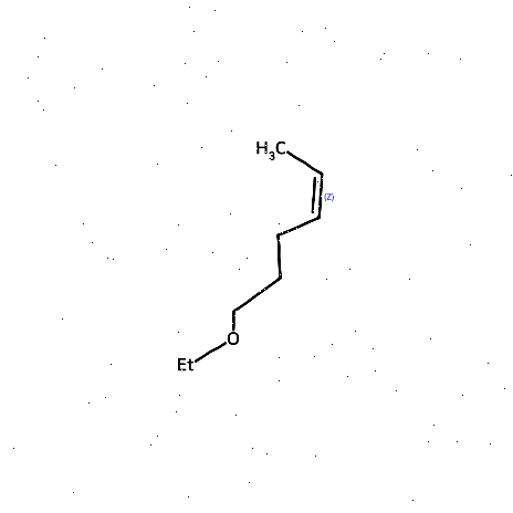 C/C=C\CCCOCC